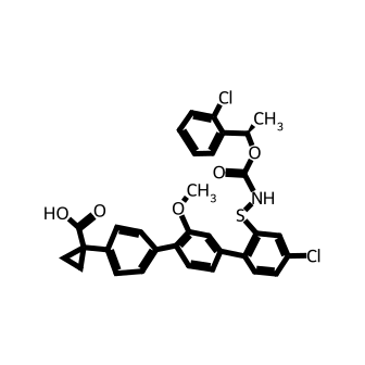 COc1cc(-c2ccc(Cl)cc2SNC(=O)O[C@H](C)c2ccccc2Cl)ccc1-c1ccc(C2(C(=O)O)CC2)cc1